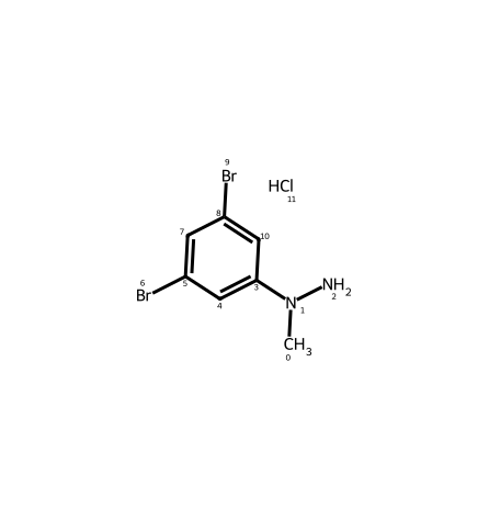 CN(N)c1cc(Br)cc(Br)c1.Cl